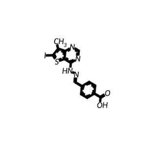 Cc1c(I)sc2c(NN=Cc3ccc(C(=O)O)cc3)ncnc12